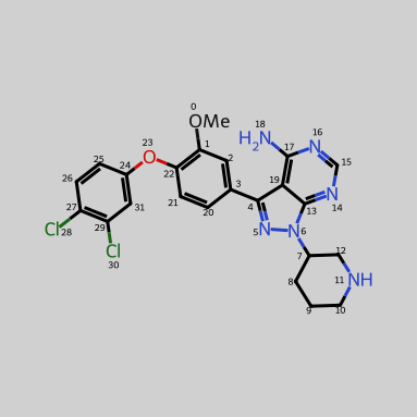 COc1cc(-c2nn(C3CCCNC3)c3ncnc(N)c23)ccc1Oc1ccc(Cl)c(Cl)c1